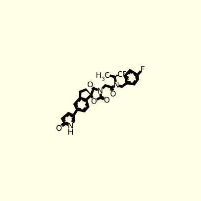 C[C@H](N(Cc1ccc(F)cc1)C(=O)CN1C(=O)O[C@@]2(CCc3cc(-c4ccc(=O)[nH]c4)ccc32)C1=O)C(F)(F)F